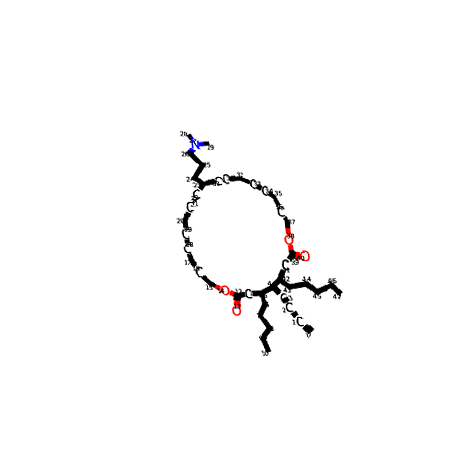 C=C=C=C=C1C(CCCCC)CC(=O)OCCCCCCCCC(CCCN(C)C)CCCCCCCCOC(=O)CC1CCCCC